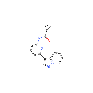 O=C(Nc1cccc(-c2cnn3ccccc23)n1)C1CC1